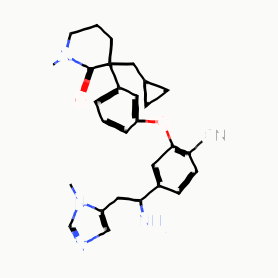 CN1CCCC(CC2CC2)(c2cccc(Oc3cc(C(N)Cc4cncn4C)ccc3C#N)c2)C1=O